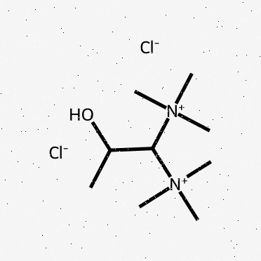 CC(O)C([N+](C)(C)C)[N+](C)(C)C.[Cl-].[Cl-]